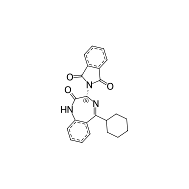 O=C1Nc2ccccc2C(C2CCCCC2)=N[C@H]1N1C(=O)c2ccccc2C1=O